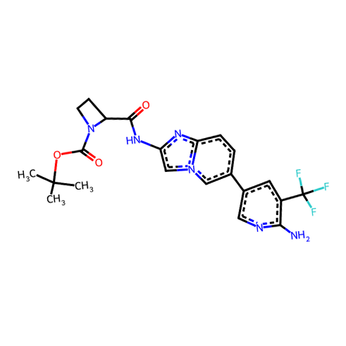 CC(C)(C)OC(=O)N1CCC1C(=O)Nc1cn2cc(-c3cnc(N)c(C(F)(F)F)c3)ccc2n1